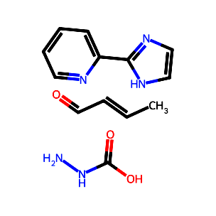 CC=CC=O.NNC(=O)O.c1ccc(-c2ncc[nH]2)nc1